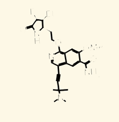 CC[C@@H]1[C@H](F)C(=O)N[C@@H]1CCOc1ncc(C#CC(C)(C)N(C)C)c2cc(C(N)=O)c(OC)cc12